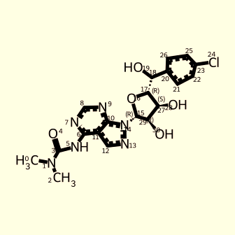 CN(C)C(=O)Nc1ncnc2c1cnn2[C@@H]1O[C@H](C(O)c2ccc(Cl)cc2)[C@@H](O)[C@H]1O